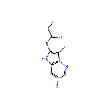 CCC(=O)Cc1[nH]c2cc(Br)cnc2c1F